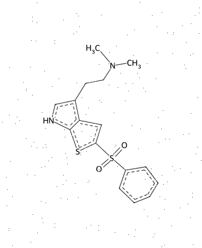 CN(C)CCc1c[nH]c2sc(S(=O)(=O)c3ccccc3)cc12